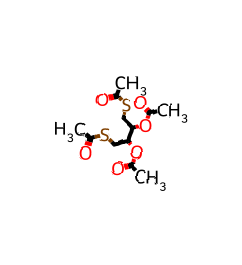 CC(=O)OC(CSC(C)=O)C(CSC(C)=O)OC(C)=O